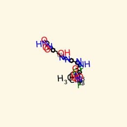 CC(C)(C)OC(=O)N(c1ccc(F)c(C(=O)c2c[nH]c3ncc(-c4ccc(N5CC6(CN(C[C@@H](O)CCc7ccc8c(c7)CN(C7CCC(=O)NC7=O)C8=O)C6)C5)cc4)cc23)c1F)S(=O)(=O)N1CC[C@@H](F)C1